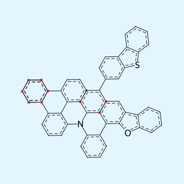 c1ccc(-c2ccccc2-c2c(-c3ccccc3)cccc2N(c2ccc(-c3ccc4c(c3)sc3ccccc34)cc2)c2ccccc2-c2cccc3c2oc2ccccc23)cc1